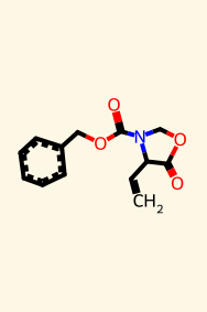 C=CC1C(=O)OCN1C(=O)OCc1ccccc1